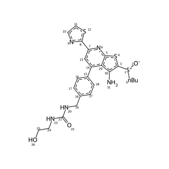 CCCC[S+]([O-])c1sc2nc(-c3nccs3)cc(-c3ccc(CNC(=O)NCCO)cc3)c2c1N